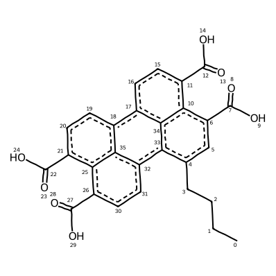 CCCCc1cc(C(=O)O)c2c(C(=O)O)ccc3c4ccc(C(=O)O)c5c(C(=O)O)ccc(c1c23)c54